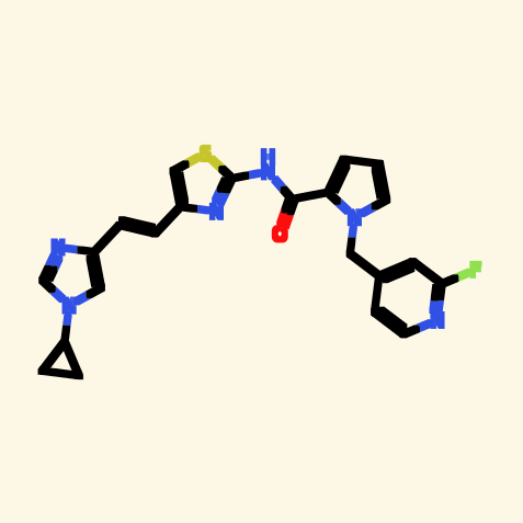 O=C(Nc1nc(C=Cc2cn(C3CC3)cn2)cs1)c1cccn1Cc1ccnc(F)c1